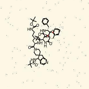 CC(C)C[C@@H](NC(=O)[C@@H](Cc1ccccc1)NC(=O)[C@@H](Cc1ccccc1)NC(=O)OC(C)(C)C)C(=O)N[C@H](CCCCNC(=O)OC(C)(C)C)C(=O)N1CCC2(CC1)Cc1cnccc1C2N[S+]([O-])C(C)(C)C